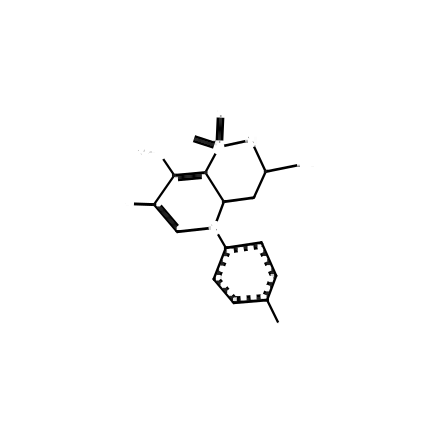 CCCCC1CC2C(=C(OC)C(Br)=CN2c2ccc(F)cc2)S(=O)(=O)N1